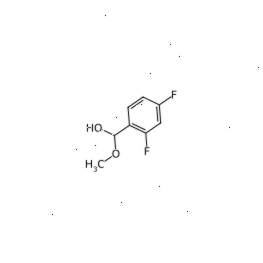 COC(O)c1ccc(F)cc1F